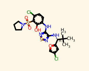 CC(C)(C)[C@@H](Nc1nsnc1Nc1ccc(Cl)c(S(=O)(=O)N2CCCC2)c1O)c1cc(Cl)co1